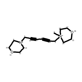 C[N+]1(CC#CC#CCN2CCOCC2)CCOCC1